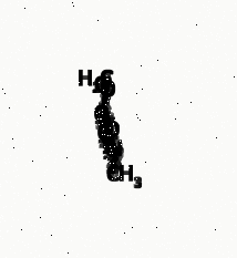 C=CC(=O)OCCCCCCOc1ccc(C(=O)Oc2ccc(-c3ccc(CCCCC)cn3)cc2)cc1